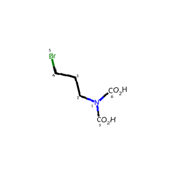 O=C(O)N(CCCBr)C(=O)O